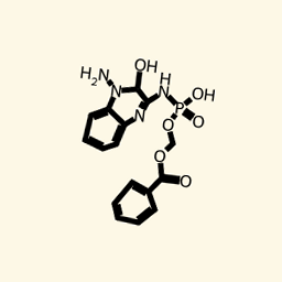 NN1c2ccccc2N=C(NP(=O)(O)OCOC(=O)c2ccccc2)C1O